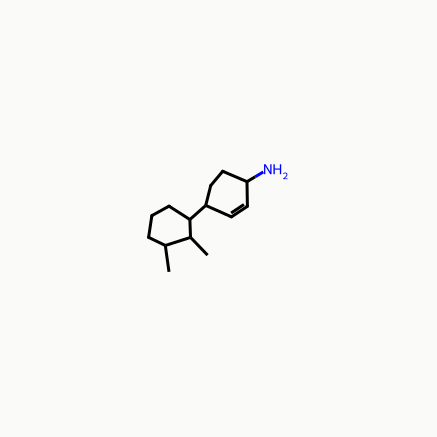 CC1CCCC(C2C=CC(N)CC2)C1C